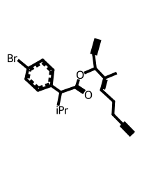 C#CCCC=C(C)C(C#C)OC(=O)C(c1ccc(Br)cc1)C(C)C